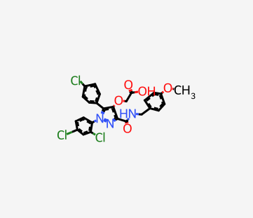 COc1ccc(CNC(=O)c2nn(-c3ccc(Cl)cc3Cl)c(-c3ccc(Cl)cc3)c2OCC(=O)O)cc1